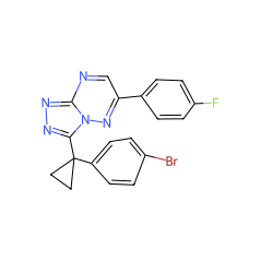 Fc1ccc(-c2cnc3nnc(C4(c5ccc(Br)cc5)CC4)n3n2)cc1